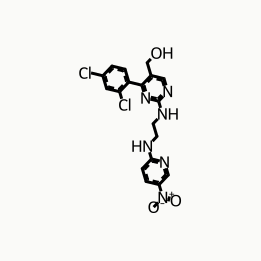 O=[N+]([O-])c1ccc(NCCNc2ncc(CO)c(-c3ccc(Cl)cc3Cl)n2)nc1